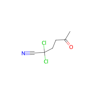 CC(=O)CCC(Cl)(Cl)C#N